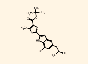 Cc1sc(-c2cc3cc(OC(C)C)cc(Br)c3[nH]2)nc1C(=O)OC(C)(C)C